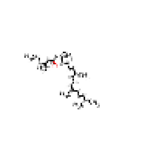 CCCC(C)=CC(=O)CC(C)=CCCC=C(C)CCC=C(C)CCC=C(C)C